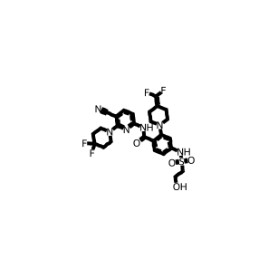 N#Cc1ccc(NC(=O)c2ccc(NS(=O)(=O)CCO)cc2N2CCC(=C(F)F)CC2)nc1N1CCC(F)(F)CC1